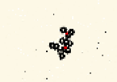 c1ccc(-c2cc(-c3c4ccccc4c(-c4cc5c(-c6ccc7ccccc7c6)nc6ccccc6c5c5ccccc45)c4ccccc34)cc3ccccc23)cc1